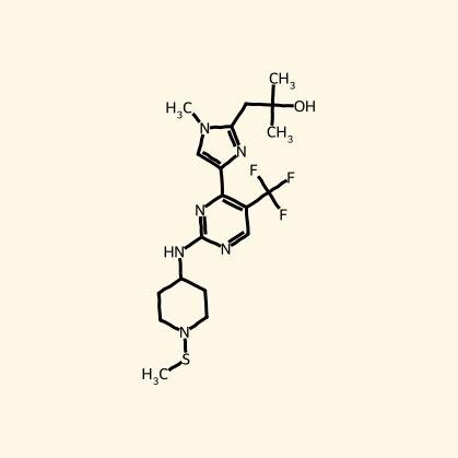 CSN1CCC(Nc2ncc(C(F)(F)F)c(-c3cn(C)c(CC(C)(C)O)n3)n2)CC1